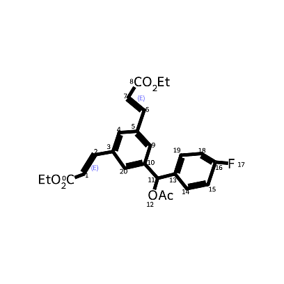 CCOC(=O)/C=C/c1cc(/C=C/C(=O)OCC)cc(C(OC(C)=O)c2ccc(F)cc2)c1